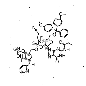 COc1ccc(C(OC[C@H]2O[C@@H](n3cnc4c(=O)[nH]c(NC(=O)C(C)C)nc43)[C@H](OP(=S)(OCCC#N)OC[C@H]3C[C@@H](Nc4ccncn4)[C@H](F)[C@@H]3O[PH](=O)O)[C@@H]2F)(c2ccccc2)c2ccc(OC)cc2)cc1